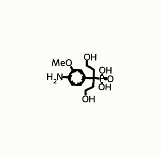 COc1cc(C(CCO)(CCO)P(=O)(O)O)ccc1N